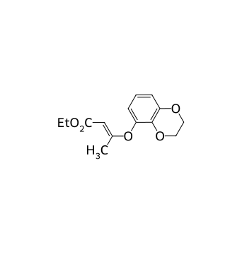 CCOC(=O)C=C(C)Oc1cccc2c1OCCO2